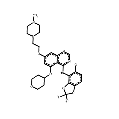 [2H]C1([2H])Oc2ccc(Cl)c(Nc3ncnc4cc(OCCN5CCN(C)CC5)cc(OC5CCOCC5)c34)c2O1